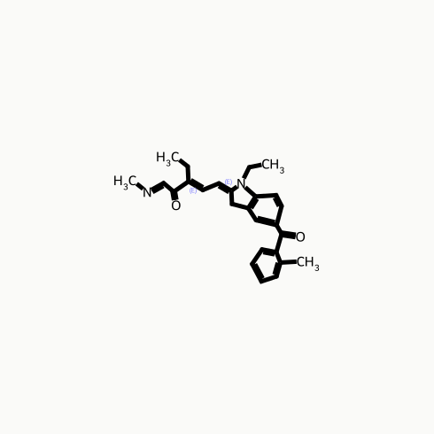 CC/C(=C\C=C1/Cc2cc(C(=O)c3ccccc3C)ccc2N1CC)C(=O)C=NC